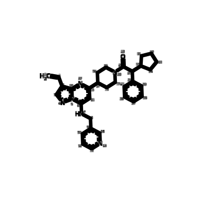 C=Cc1cnn2c(NCc3cccnc3)cc(C3CCN(C(=O)C(c4ccccc4)C4CCCC4)CC3)nc12